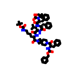 CC(C)C[C@@H](NC(=O)[C@@H](Cc1ccccc1)NC(=O)[C@@H](Cc1ccccc1)N(C(=O)O)C(C)(C)C)C(=O)N[C@H](CCCCNC(=O)OC(C)(C)C)C(=O)N1CC2(CCN(C(=O)[C@@H](Cc3ccccc3)NC(=O)OCc3ccccc3)CC2)C1